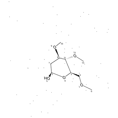 COC[C@H]1O[C@@H](O)C[C@@H](OC)[C@@H]1OC